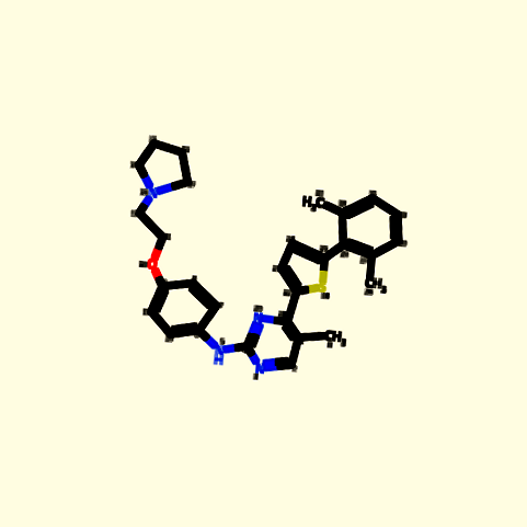 Cc1cnc(Nc2ccc(OCCN3CCCC3)cc2)nc1-c1ccc(-c2c(C)cccc2C)s1